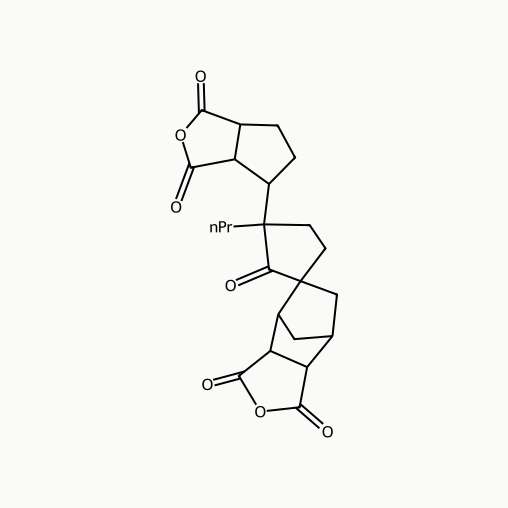 CCCC1(C2CCC3C(=O)OC(=O)C32)CCC2(CC3CC2C2C(=O)OC(=O)C32)C1=O